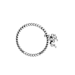 C1CCCCCCCCCCCCCCCCCCCCCCCCCCCCCCCCCCCCCCCCC1.C=CC(=O)OC(C)(C)C